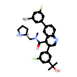 CN(C[C@@H]1CCCN1)C(=O)c1c(-c2cc(F)cc(C(C)(C)O)c2)cnc2ccc(-c3cc(F)cc(C#N)c3)cc12